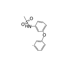 CS(=O)(=O)Nc1cccc(Oc2c[c]ccc2)c1